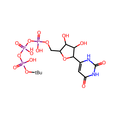 CC(C)(C)OP(=O)(O)OP(=O)(O)OP(=O)(O)OCC1OC(c2cc(=O)[nH]c(=O)[nH]2)C(O)C1O